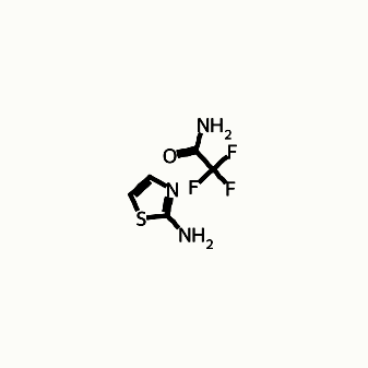 NC(=O)C(F)(F)F.Nc1nccs1